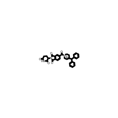 O=C1CCC(N2C(=O)c3ccc(C(=O)N4CC5CCC4CN5C(c4ccccc4)c4ccccc4)cc3C2=O)C(=O)N1